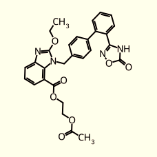 CCOc1nc2cccc(C(=O)OCCOC(C)=O)c2n1Cc1ccc(-c2ccccc2-c2noc(=O)[nH]2)cc1